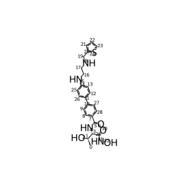 C[C@@H](O)[C@H](NC(=O)c1ccc(-c2ccc(NCCNCc3cccs3)cc2)cc1)C(=O)NO